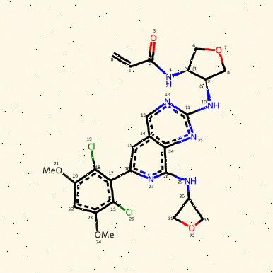 C=CC(=O)N[C@H]1COC[C@H]1Nc1ncc2cc(-c3c(Cl)c(OC)cc(OC)c3Cl)nc(NC3COC3)c2n1